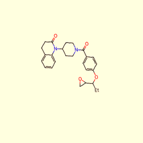 CCC(Oc1ccc(C(=O)N2CCC(N3C(=O)CCc4ccccc43)CC2)cc1)C1CO1